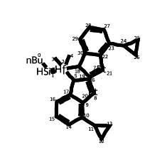 CCCC[SiH]=[Hf]([CH3])([CH3])([CH]1C(CC)=Cc2c(C3CC3)cccc21)[CH]1C(CC)=Cc2c(C3CC3)cccc21